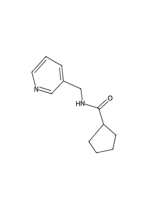 O=C(NCc1cccnc1)C1CCCC1